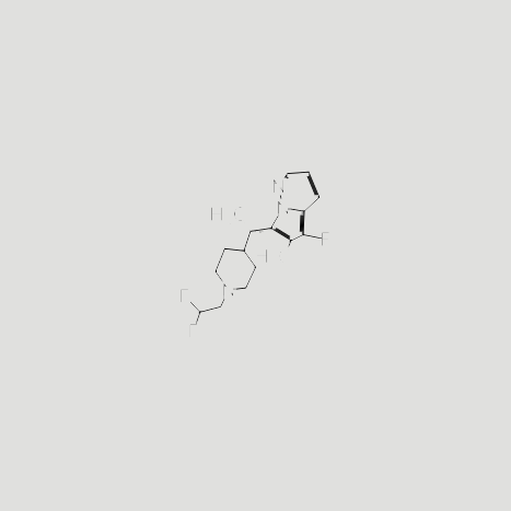 Cc1c(F)c2cccnn2c1[C@@H](C)C1CCN(CC(F)F)CC1